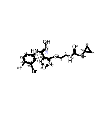 O=C(NCCSc1nonc1/C(=N/O)Nc1ccc(F)c(Br)c1)NC1CC1